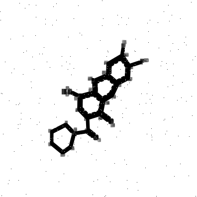 Cn1cc(C(=O)N2CCCCC2)c(=O)c2cc3cc(F)c(F)cc3nc21